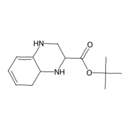 CC(C)(C)OC(=O)C1CNC2=CC=CCC2N1